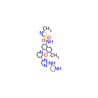 Cc1ncc(S(=O)(=O)Nc2cccc3c(Oc4ncccc4-c4ccnc(NC5CCCNC5)n4)c(C)ccc23)s1